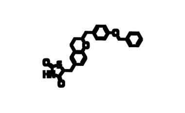 O=C1NC(=O)C(Cc2ccc3c(c2)CCC(Cc2ccc(OCc4ccccc4)cc2)O3)S1